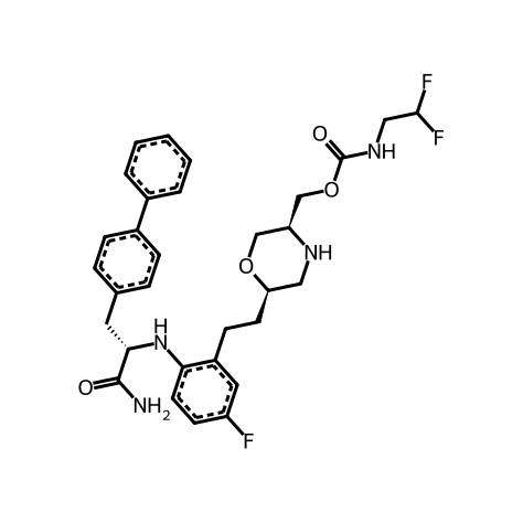 NC(=O)[C@H](Cc1ccc(-c2ccccc2)cc1)Nc1ccc(F)cc1CC[C@@H]1CN[C@H](COC(=O)NCC(F)F)CO1